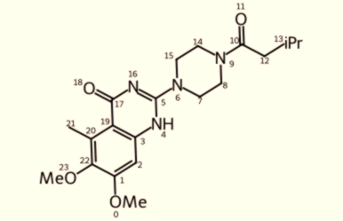 COc1cc2[nH]c(N3CCN(C(=O)CC(C)C)CC3)nc(=O)c2c(C)c1OC